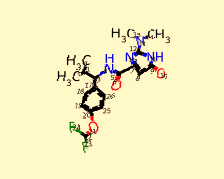 CC(C)C(NC(=O)c1cc(=O)[nH]c(N(C)C)n1)c1ccc(OC(F)F)cc1